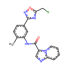 Cc1ccc(-c2noc(CF)n2)cc1NC(=O)c1cnc2ccccn12